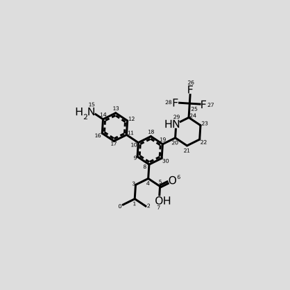 CC(C)CC(C(=O)O)c1cc(-c2ccc(N)cc2)cc(C2CCCC(C(F)(F)F)N2)c1